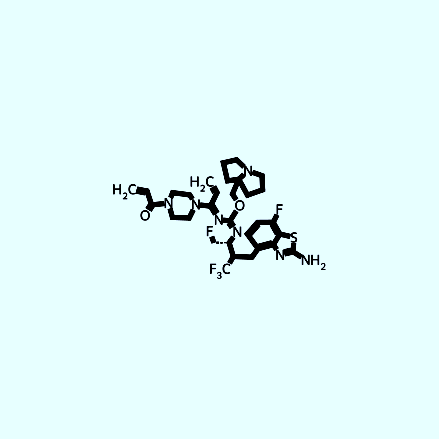 C=CC(=O)N1CCN(/C(C=C)=N/C(=N\[C@@H](CF)C(Cc2ccc(F)c3sc(N)nc23)C(F)(F)F)OCC23CCCN2CCC3)CC1